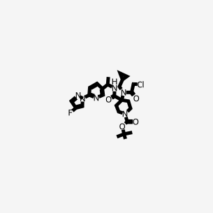 CC(NC(=O)C1(N(CC2CC2)C(=O)CCl)CCN(C(=O)OC(C)(C)C)CC1)c1ccc(-n2cc(F)cn2)nc1